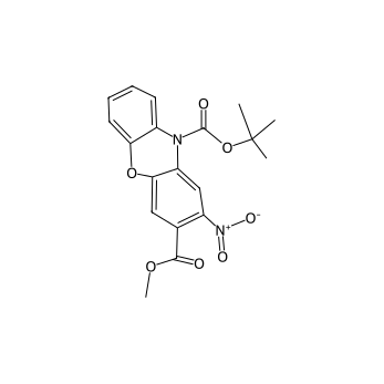 COC(=O)c1cc2c(cc1[N+](=O)[O-])N(C(=O)OC(C)(C)C)c1ccccc1O2